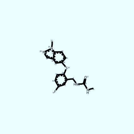 CNC(=O)NCc1cc(F)ccc1Sc1ccc2c(cnn2C)c1